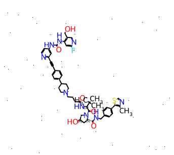 Cc1ncsc1-c1ccc(CNC(=O)[C@@H]2C[C@@H](O)CN2C(=O)[C@@H](NC(=O)CCCN2CCC(c3ccc(C#Cc4cc(NC(=O)Nc5cc(F)ncc5CO)ccn4)cc3)CC2)C(C)(C)C)cc1